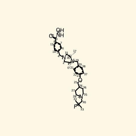 C[C@@H]1CN(Cc2ccc(C(=O)NO)cc2)C[C@H](C)N1Cc1ccc(OCC2CCN(CC(C)(C)F)CC2)cc1